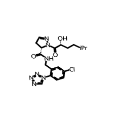 CC(C)CC[C@@H](O)C(=O)N1N=CC[C@H]1C(=O)NCc1cc(Cl)ccc1-n1cnnn1